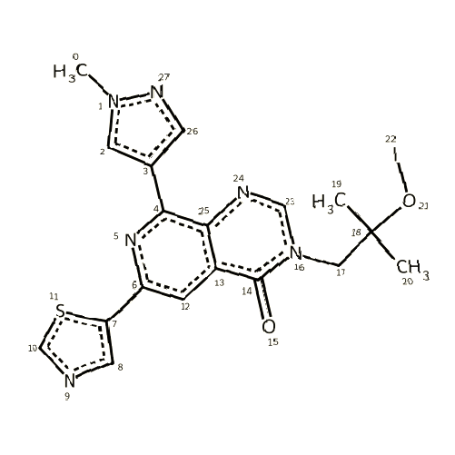 Cn1cc(-c2nc(-c3cncs3)cc3c(=O)n(CC(C)(C)OI)cnc23)cn1